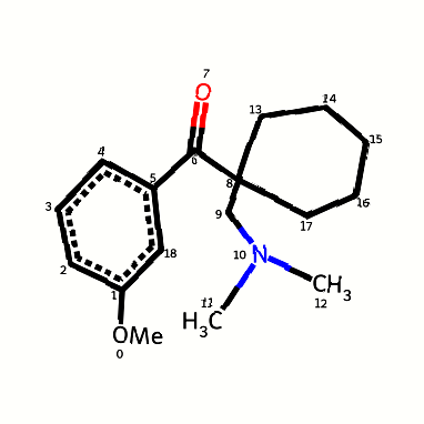 COc1cccc(C(=O)C2(CN(C)C)CCCCC2)c1